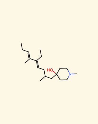 CC/C=C(C)/C(=C/CC(C)CC1(O)CCN(C)CC1)CC